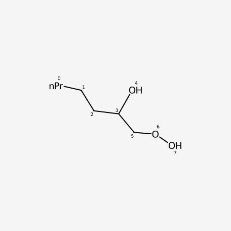 CCCCCC(O)COO